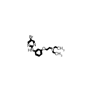 CCN(CC)CCOc1cccc(Nc2ncc(Br)cn2)c1